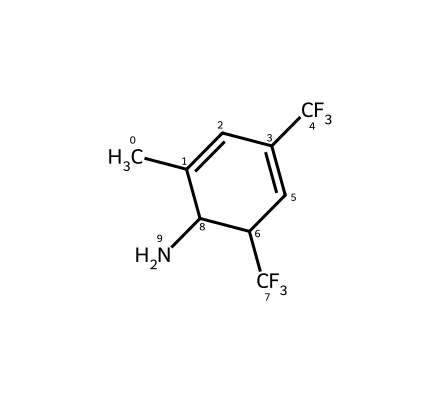 CC1=CC(C(F)(F)F)=CC(C(F)(F)F)C1N